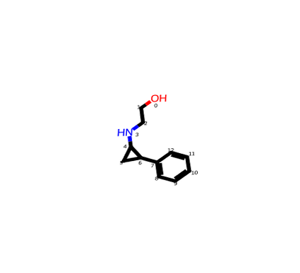 OCCNC1CC1c1ccccc1